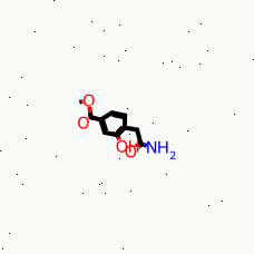 COC(=O)c1ccc(CC(N)=O)c(O)c1